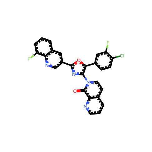 O=c1c2ncccc2ccn1-c1nc(-c2cnc3c(F)cccc3c2)oc1-c1ccc(Cl)c(F)c1